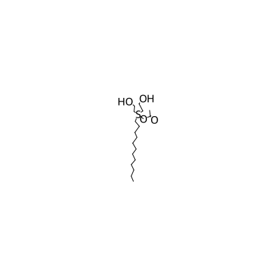 CCCCCCCCCCCCS(CCO)(CCO)OC(C)=O